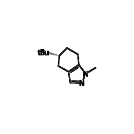 Cn1ncc2c1CC[C@@H](C(C)(C)C)C2